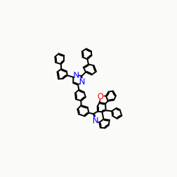 c1ccc(-c2cccc(-c3cc(-c4ccc(-c5cccc(-c6nc7ccccc7c7c(-c8ccccc8)c8c(cc67)oc6ccccc68)c5)cc4)nc(-c4cccc(-c5ccccc5)c4)n3)c2)cc1